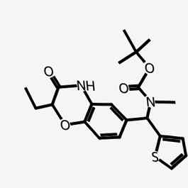 CCC1Oc2ccc(C(c3cccs3)N(C)C(=O)OC(C)(C)C)cc2NC1=O